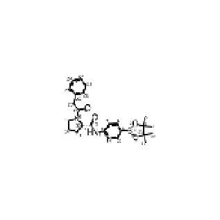 CC1(C)OB(c2ccc(NC(=O)[C@@H]3CCCN3C(=O)Cc3ccccc3)nc2)OC1(C)C